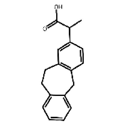 CC(C(=O)O)c1ccc2c(c1)CCc1ccccc1C2